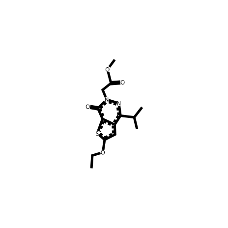 CCOc1cc2c(C(C)C)nn(CC(=O)OC)c(=O)c2s1